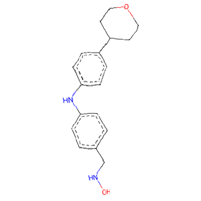 ONCc1ccc(Nc2ccc(C3CCOCC3)cc2)cc1